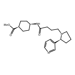 COC(=O)[C@H]1CC[C@@H](NC(=O)CCCN2CCC[C@H]2c2cccnc2)CC1